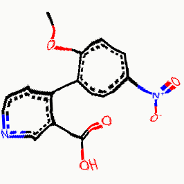 COc1ccc([N+](=O)[O-])cc1-c1ccncc1C(=O)O